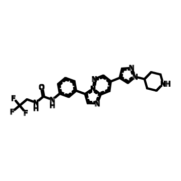 O=C(NCC(F)(F)F)Nc1cccc(-c2cnc3cc(-c4cnn(C5CCNCC5)c4)cnn23)c1